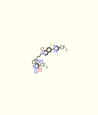 O=c1[nH]ncc(N[C@H](CCCn2ccc3cc(-c4ncc(C(F)(F)F)cn4)c(F)cc3c2=O)CC(F)(F)F)c1C(F)(F)F